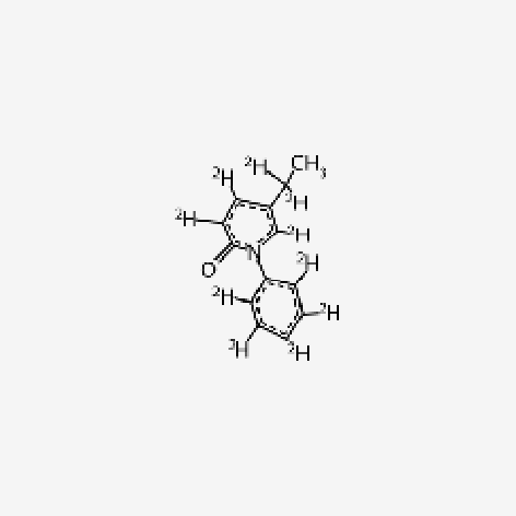 [2H]c1c([2H])c([2H])c(-n2c([2H])c(C([2H])([2H])C)c([2H])c([2H])c2=O)c([2H])c1[2H]